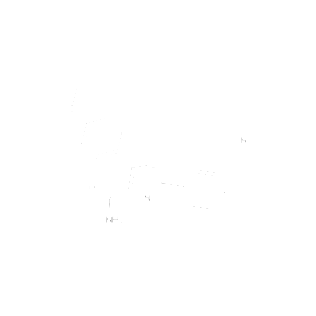 COc1ccc(-c2oc(-c3cccc(C#N)c3)nc2C(N)=O)cc1